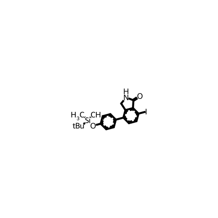 CC(C)(C)[Si](C)(C)Oc1ccc(-c2ccc(I)c3c2CNC3=O)cc1